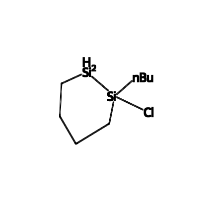 CCCC[Si]1(Cl)CCCC[SiH2]1